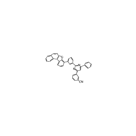 N#Cc1cccc(-c2cc(-c3ccccc3)nc(-c3cccc(-c4cccc5c4oc4ccc6ccccc6c45)c3)n2)c1